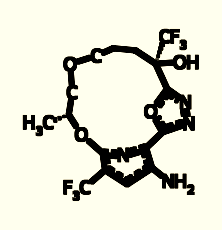 C[C@@H]1COCCC[C@](O)(C(F)(F)F)c2nnc(o2)-c2nc(c(C(F)(F)F)cc2N)O1